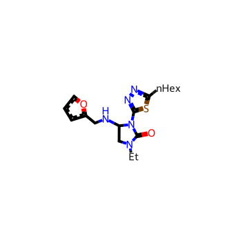 CCCCCCc1nnc(N2C(=O)N(CC)CC2NCc2ccco2)s1